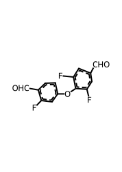 O=Cc1cc(F)c(Oc2ccc(C=O)c(F)c2)c(F)c1